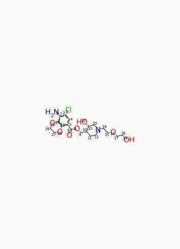 Nc1c(Cl)cc(C(=O)OCC2CCN(CCOCCO)CC2O)c2c1OCCO2